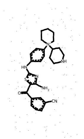 N#Cc1cccc(C(=O)c2sc(Nc3ccc([N+]4(C5CCNCC5)CCCCC4)cc3)nc2N)c1